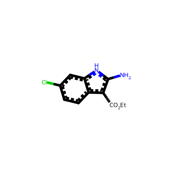 CCOC(=O)c1c(N)[nH]c2cc(Cl)ccc12